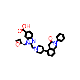 O=C(O)c1ccc2nc(CN3CCC(c4cccc5c4CC(=O)N(c4ccccc4)C5)CC3)n(C[C@@H]3CCO3)c2c1